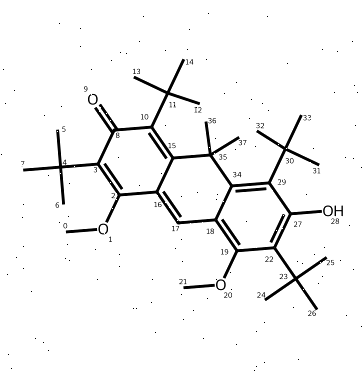 COC1=C(C(C)(C)C)C(=O)C(C(C)(C)C)=C2C1=Cc1c(OC)c(C(C)(C)C)c(O)c(C(C)(C)C)c1C2(C)C